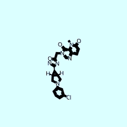 Cn1c(=O)ccc2ncn(Cc3nc([C@H]4[C@@H]5CN(c6cccc(Cl)c6)C[C@@H]54)no3)c(=O)c21